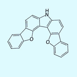 c1ccc2c(c1)oc1c2ccc2[nH]c3ccc4c5ccccc5oc4c3c21